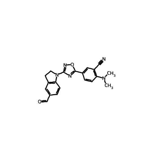 CN(C)c1ccc(-c2nc(N3CCc4cc(C=O)ccc43)no2)cc1C#N